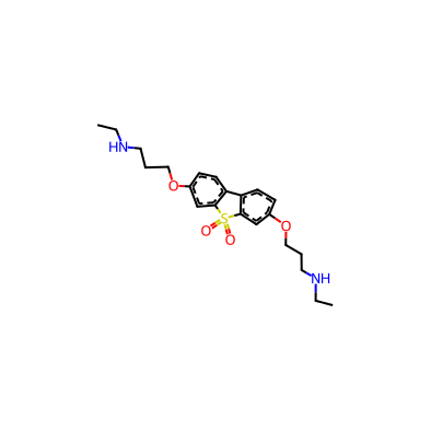 CCNCCCOc1ccc2c(c1)S(=O)(=O)c1cc(OCCCNCC)ccc1-2